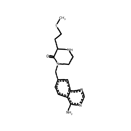 CSCCC1NCCN(Cc2ccc3c(N)ncnc3c2)C1=O